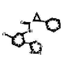 O=C(Nc1cc(Cl)ccc1-c1nnn[nH]1)[C@@H]1C[C@H]1c1ccccc1